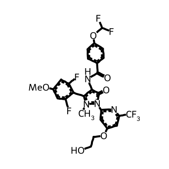 COc1cc(F)c(-c2c(NC(=O)c3ccc(OC(F)F)cc3)c(=O)n(-c3cc(OCCO)cc(C(F)(F)F)n3)n2C)c(F)c1